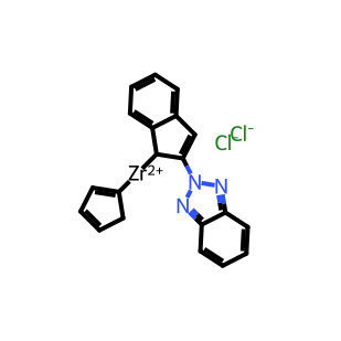 C1=CC[C]([Zr+2][CH]2C(n3nc4ccccc4n3)=Cc3ccccc32)=C1.[Cl-].[Cl-]